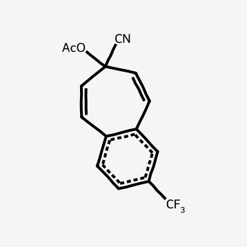 CC(=O)OC1(C#N)C=Cc2ccc(C(F)(F)F)cc2C=C1